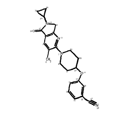 Cc1cc2c(nc1N1CCC(Oc3cccc(C#N)c3)CC1)CN(C1CC1)C2=O